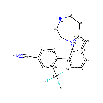 N#Cc1ccc(-c2cccc3cc4n(c23)CCNCC4)c(C(F)(F)F)c1